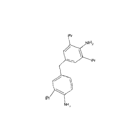 CC(C)c1cc(Cc2cc(C(C)C)c(N)c(C(C)C)c2)ccc1N